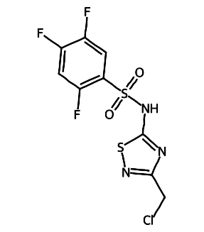 O=S(=O)(Nc1nc(CCl)ns1)c1cc(F)c(F)cc1F